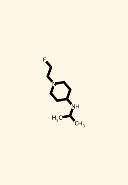 CC(C)NC1CCN(CCF)CC1